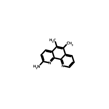 Cc1c(C)c2ccc(N)nc2c2ncccc12